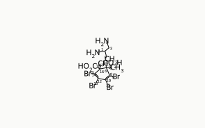 CC(N)CN.CC1(C(=O)O)C(Br)=C(Br)C(Br)=C(Br)C1(C)C(=O)O